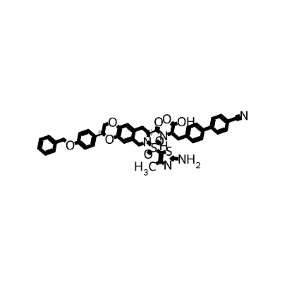 Cc1nc(N)sc1S(=O)(=O)N1Cc2cc3c(cc2C[C@H]1C(=O)NC(Cc1ccc(-c2ccc(C#N)cc2)cc1)C(=O)O)OC[C@H](c1ccc(OCc2ccccc2)cc1)O3